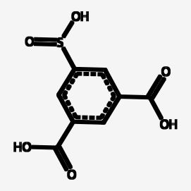 O=C(O)c1cc(C(=O)O)cc(S(=O)O)c1